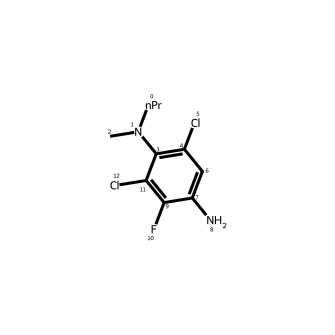 CCCN(C)c1c(Cl)cc(N)c(F)c1Cl